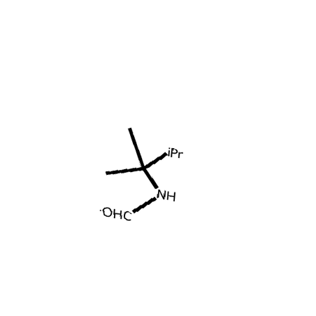 CC(C)C(C)(C)N[C]=O